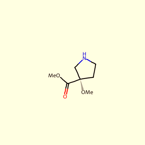 COC(=O)[C@]1(OC)CCNC1